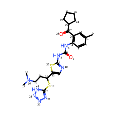 Cc1ccc(NC(=O)Nc2ncc(C(CCN(C)C)Sc3nnn[nH]3)s2)c(C(=O)C2CCCC2)c1